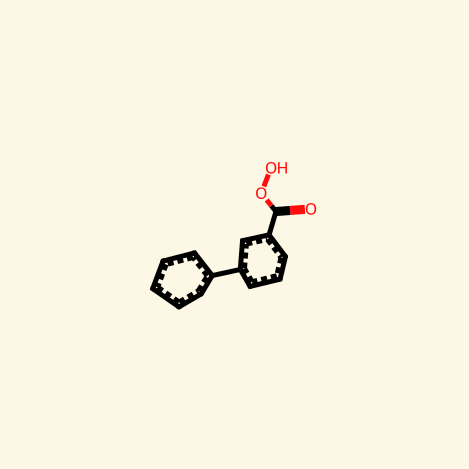 O=C(OO)c1cccc(-c2ccccc2)c1